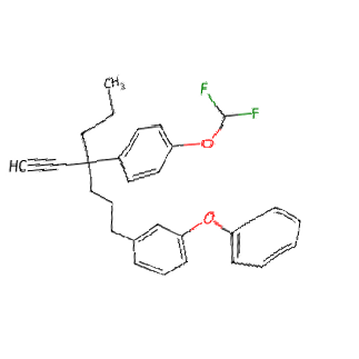 C#CC(CCC)(CCCc1cccc(Oc2ccccc2)c1)c1ccc(OC(F)F)cc1